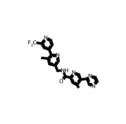 Cc1cc(C(=O)NCc2cnc(-c3ccnc(C(F)(F)F)c3)c(C)c2)ncc1-c1cnccn1